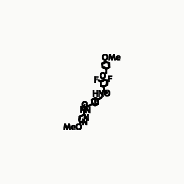 COc1ccc(COc2c(F)cc(C(=O)NCC34CCC(c5nc(-c6ccc(OC)nn6)no5)(CC3)CC4)cc2F)cc1